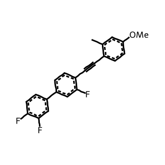 COc1ccc(C#Cc2ccc(-c3ccc(F)c(F)c3)cc2F)c(C)c1